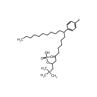 CCCCCCCCCCC(CCCCCCCC(C[N+](C)(C)C)OP(=O)(O)O)c1ccc(I)cc1